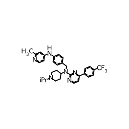 Cc1cc(Nc2ccc(CN(c3nccc(-c4ccc(C(F)(F)F)cc4)n3)C3CCN(C(C)C)CC3)cc2)ccn1